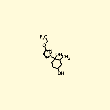 CC1CC(O)CCC1(O)n1ccc(OCC(F)(F)F)n1